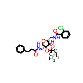 CC1(C)O[C@@H]2[C@@H](CNC(=O)c3ccccc3Cl)OC[C@]2(CNC(=O)CCc2ccccc2)O1